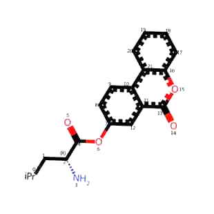 CC(C)C[C@@H](N)C(=O)Oc1ccc2c(c1)c(=O)oc1c[c]ccc12